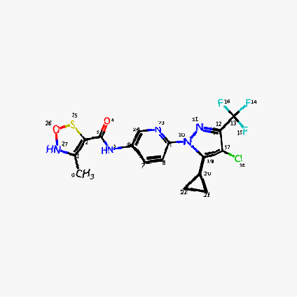 CC1=C(C(=O)Nc2ccc(-n3nc(C(F)(F)F)c(Cl)c3C3CC3)nc2)SON1